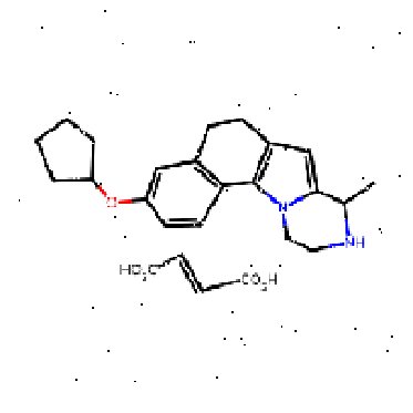 CC1NCCn2c1cc1c2-c2ccc(OC3CCCC3)cc2CC1.O=C(O)C=CC(=O)O